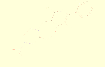 O=C(O)N1CCN2Cc3c(Br)nc(-c4ccccc4F)c(Cl)c3OCC2C1